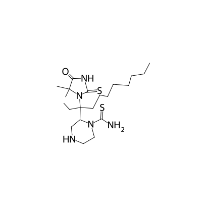 CCCCCCCCC(CC)(C1CNCCN1C(N)=S)N1C(=S)NC(=O)C1(C)C